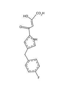 O=C(O)C(O)=CC(=O)c1cc(Cc2ccc(F)cc2)c[nH]1